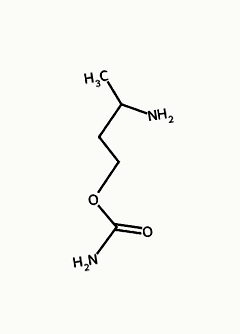 CC(N)CCOC(N)=O